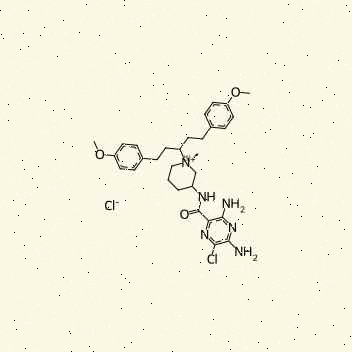 COc1ccc(CCC(CCc2ccc(OC)cc2)[N@@+]2(C)CCCC(NC(=O)c3nc(Cl)c(N)nc3N)C2)cc1.[Cl-]